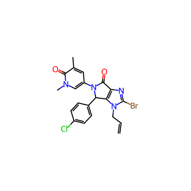 C=CCn1c(Br)nc2c1C(c1ccc(Cl)cc1)N(c1cc(C)c(=O)n(C)c1)C2=O